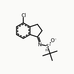 CC(C)(C)[S@@+]([O-])N=C1CCc2c(Cl)cccc21